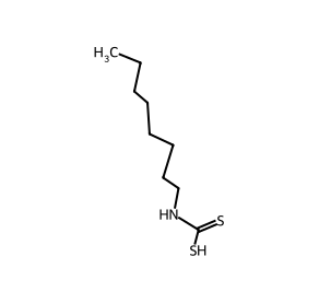 CCCCCCCCNC(=S)S